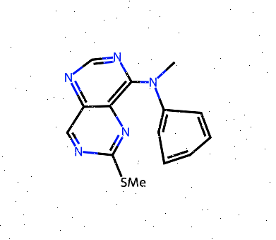 CSc1ncc2ncnc(N(C)c3ccccc3)c2n1